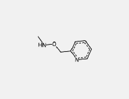 CNOCc1ccccn1